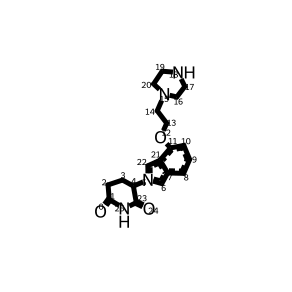 O=C1CCC(n2cc3cccc(OCCN4CCNCC4)c3c2)C(=O)N1